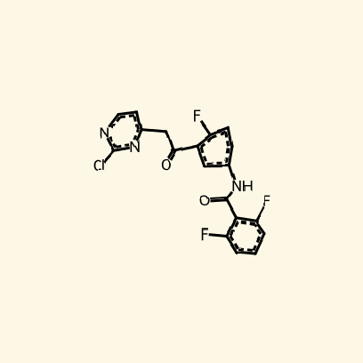 O=C(Cc1ccnc(Cl)n1)c1cc(NC(=O)c2c(F)cccc2F)ccc1F